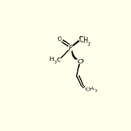 C=COP(C)(C)=O